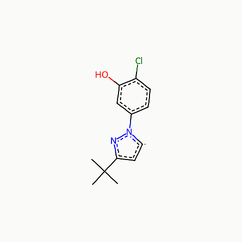 CC(C)(C)c1c[c]n(-c2ccc(Cl)c(O)c2)n1